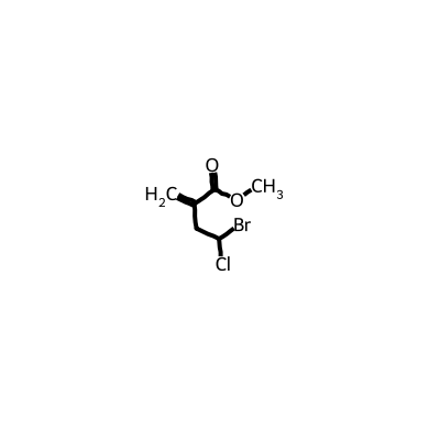 C=C(CC(Cl)Br)C(=O)OC